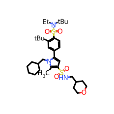 CCN(C(C)(C)C)S(=O)(=O)c1ccc(-c2cc(S(=O)(=O)NCC3CCOCC3)c(C)n2CC2CCCCC2)cc1C(C)(C)C